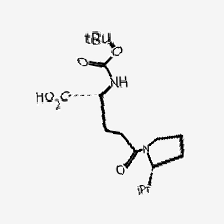 CC(C)[C@@H]1CCCN1C(=O)CC[C@@H](NC(=O)OC(C)(C)C)C(=O)O